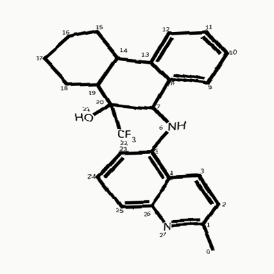 Cc1ccc2c(NC3c4ccccc4C4CCCCC4C3(O)C(F)(F)F)cccc2n1